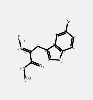 CCCCNC(=O)/C(Cc1c[nH]c2ccc(Br)cc12)=N/C